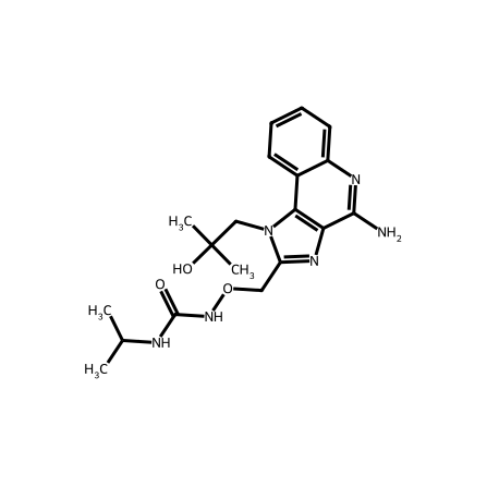 CC(C)NC(=O)NOCc1nc2c(N)nc3ccccc3c2n1CC(C)(C)O